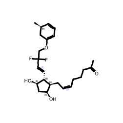 CC(=O)CCC/C=C\C[C@@H]1[C@@H](/C=C/C(F)(F)COC2=CC=C[C@H](C)C2)[C@H](O)C[C@@H]1O